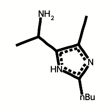 CCCCc1nc(C)c(C(C)N)[nH]1